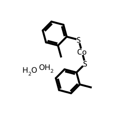 Cc1ccccc1[S][Co][S]c1ccccc1C.O.O